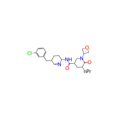 CCCC1CC(C(=O)NC2CCC(Cc3cccc(Cl)c3)C=N2)CN(C2COC2)C1=O